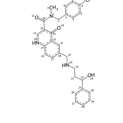 CN(Cc1ccc(Cl)cc1)C(=O)c1c[nH]c2ccc(CNCCC(O)c3ccccc3)cc2c1=O